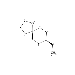 CC[C@H]1CC[C@]2(CCCO2)CC1